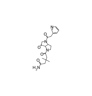 CC(C)(CC(N)=O)CC(=O)N1CCC2C1C(=O)CN2C(=O)Cc1cccnc1